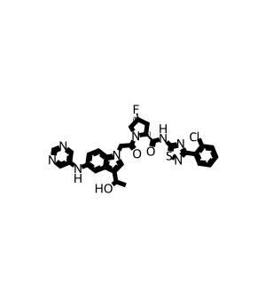 CC(O)c1cn(CC(=O)N2C[C@H](F)C[C@H]2C(=O)Nc2nc(-c3ccccc3Cl)ns2)c2ccc(Nc3cncnc3)cc12